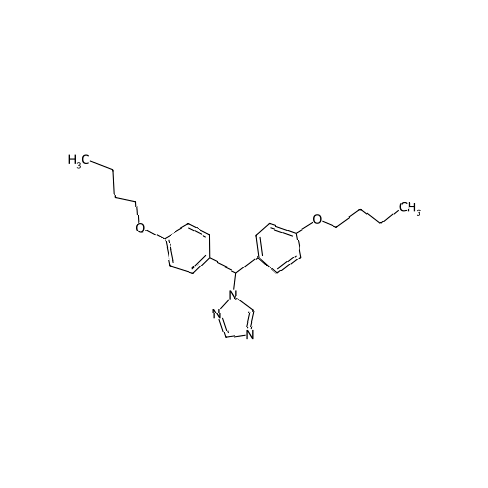 CCCCOc1ccc(C(c2ccc(OCCCC)cc2)n2cncn2)cc1